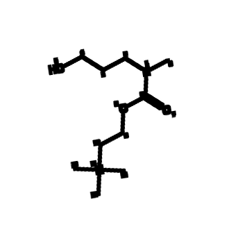 CN(CCCO)C(=O)OCC[Si](C)(C)C